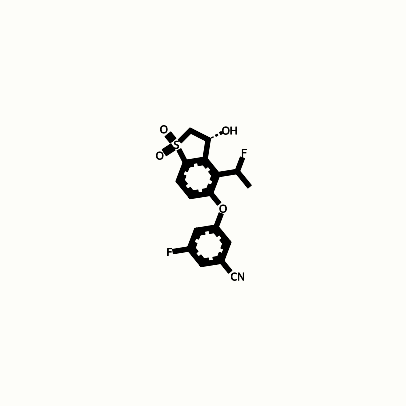 CC(F)c1c(Oc2cc(F)cc(C#N)c2)ccc2c1[C@@H](O)CS2(=O)=O